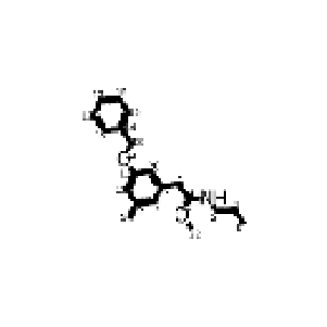 CCCNC(Cc1cc(C)cc(OCc2ccccc2)c1)OC